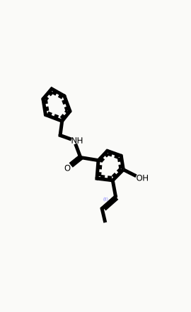 C/C=C/c1cc(C(=O)NCc2ccccc2)ccc1O